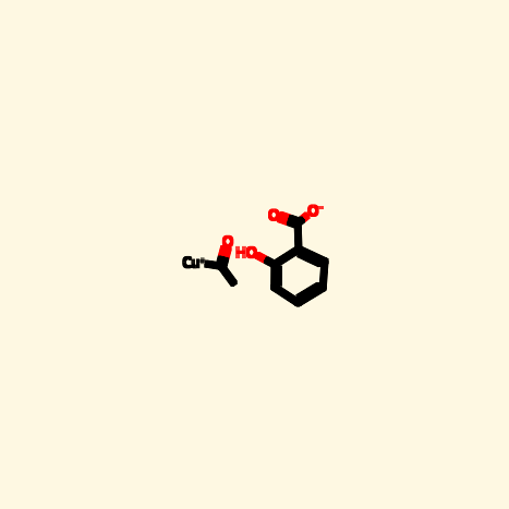 C[C](=O)[Cu+].O=C([O-])c1ccccc1O